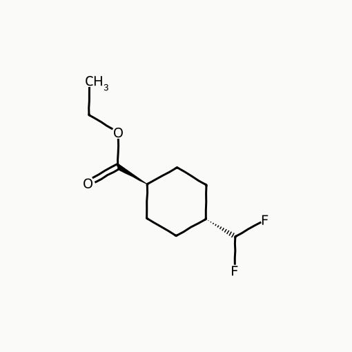 CCOC(=O)[C@H]1CC[C@H](C(F)F)CC1